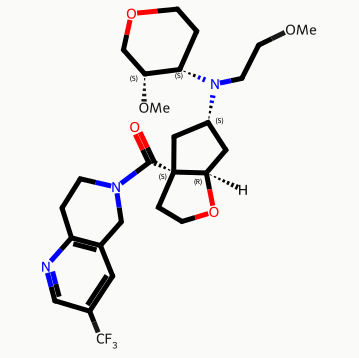 COCCN([C@@H]1C[C@H]2OCC[C@@]2(C(=O)N2CCc3ncc(C(F)(F)F)cc3C2)C1)[C@H]1CCOC[C@H]1OC